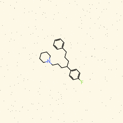 Fc1ccc(C(CCCc2ccccc2)CCCN2CCCCC2)cc1